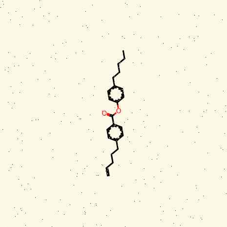 C=CCCCc1ccc(C(=O)Oc2ccc(CCCCC)cc2)cc1